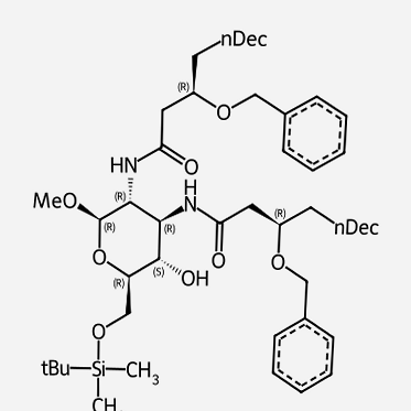 CCCCCCCCCCC[C@H](CC(=O)N[C@H]1[C@H](OC)O[C@H](CO[Si](C)(C)C(C)(C)C)[C@@H](O)[C@@H]1NC(=O)C[C@@H](CCCCCCCCCCC)OCc1ccccc1)OCc1ccccc1